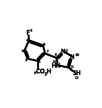 O=C(O)c1ccc(F)cc1-c1nnc(S)[nH]1